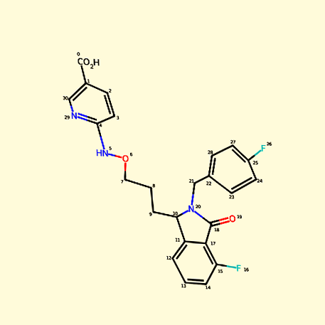 O=C(O)c1ccc(NOCCCC2c3cccc(F)c3C(=O)N2Cc2ccc(F)cc2)nc1